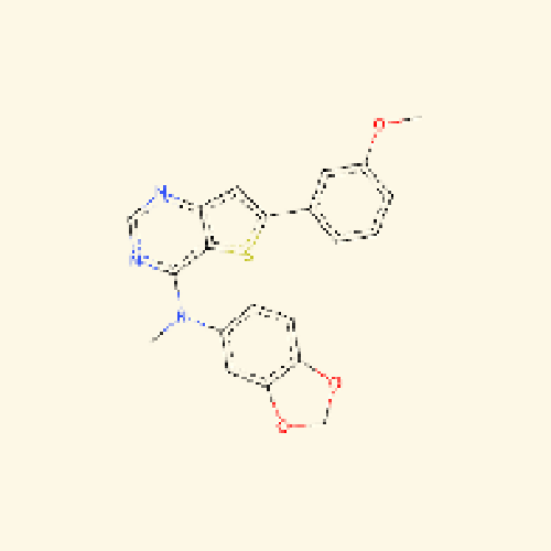 COc1cccc(-c2cc3ncnc(N(C)c4ccc5c(c4)OCO5)c3s2)c1